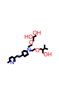 Cc1ccc(/C=C/c2ccc(N(CCOCC(O)CO)CCOCC(CO)C(C)C)cc2)cn1